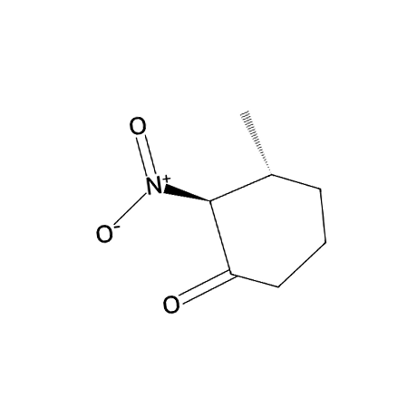 C[C@@H]1CCCC(=O)[C@H]1[N+](=O)[O-]